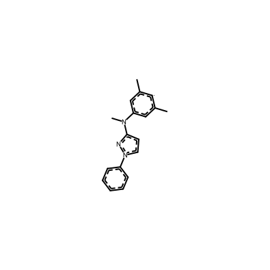 Cc1[c]c(C)cc(N(C)c2ccn(-c3ccccc3)n2)c1